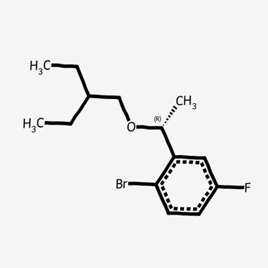 CCC(CC)CO[C@H](C)c1cc(F)ccc1Br